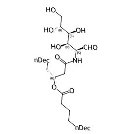 CCCCCCCCCCCCCC(=O)O[C@H](CCCCCCCCCCC)CC(=O)N[C@H](C=O)[C@@H](O)[C@H](O)[C@H](O)CO